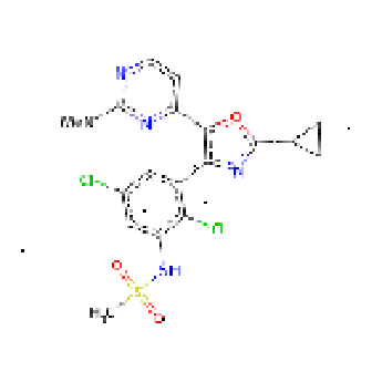 CNc1nccc(-c2oc(C3CC3)nc2-c2cc(Cl)cc(NS(C)(=O)=O)c2Cl)n1